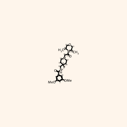 COc1cc(OC)cc(C(=O)NCC2(F)CCN(CC(=O)N3[C@H](C)COC[C@H]3C)CC2)c1